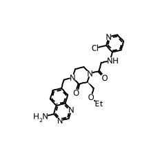 CCOC[C@H]1C(=O)N(Cc2ccc3c(N)ncnc3c2)CCN1C(=O)CNc1cccnc1Cl